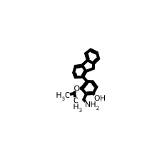 CC(C)Oc1c(-c2cccc3c2Cc2ccccc2-3)ccc(O)c1CN